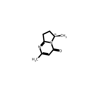 Cc1cc(=O)n2c(n1)CC[C@H]2C